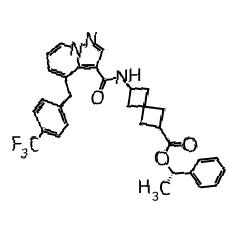 C[C@H](OC(=O)C1CC2(CC(NC(=O)c3cnn4cccc(Cc5ccc(C(F)(F)F)cc5)c34)C2)C1)c1ccccc1